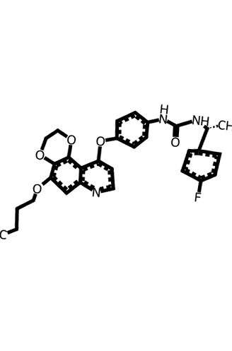 C[C@@H](NC(=O)Nc1ccc(Oc2ccnc3cc(OCCCC#N)c4c(c23)OCCO4)cc1)c1ccc(F)cc1